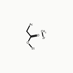 CCOC(=O)CC(C)=O.[CH3][Zr]